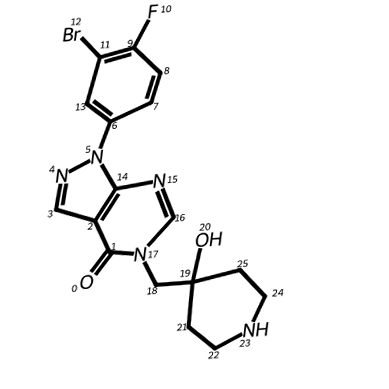 O=c1c2cnn(-c3ccc(F)c(Br)c3)c2ncn1CC1(O)CCNCC1